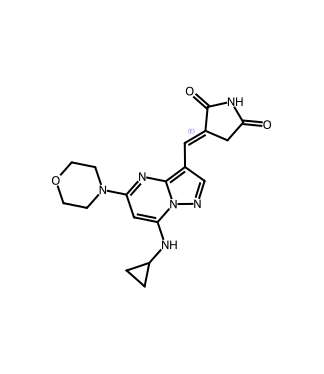 O=C1C/C(=C\c2cnn3c(NC4CC4)cc(N4CCOCC4)nc23)C(=O)N1